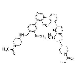 COc1nc(-c2cccc(-c3cncc(-c4ccc(CNC5CCN(C(C)=O)CC5)c(OC)n4)c3Cl)c2Cl)ccc1CNC1CCN(C(C)=O)CC1